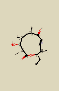 CC[C@H]1OC(=O)[C@H](C)[C@@H](O)[C@@H](C)C[C@@H](C)C(=O)/C=C/[C@H]1C